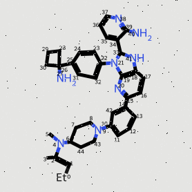 CCC=C(C)N(C)C1CCN(c2cccc(-c3ccc4c(n3)N(c3ccc(C5(N)CCC5)cc3)C(c3cccnc3N)N4)c2)CC1